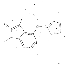 CC1=C(C)C(C)c2ccc[c]([Zr][C]3=CC=CC3)c21